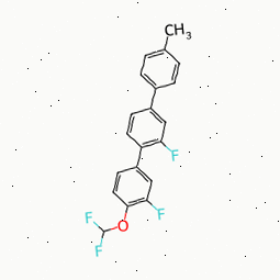 Cc1ccc(-c2ccc(-c3ccc(OC(F)F)c(F)c3)c(F)c2)cc1